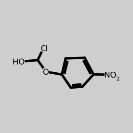 O=[N+]([O-])c1ccc(OC(O)Cl)cc1